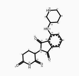 O=C1CCC(N2C(=O)c3cccc(NC4CCCNC4)c3C2=O)C(=O)N1